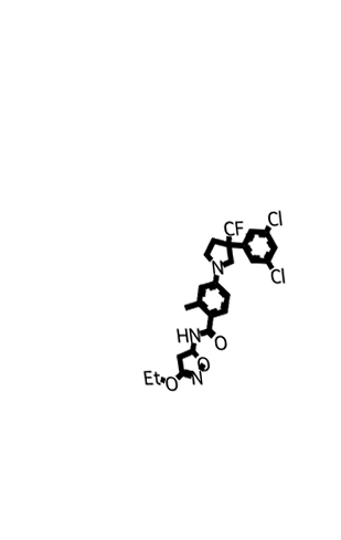 CCOC1=NOC(NC(=O)c2ccc(N3CCC(c4cc(Cl)cc(Cl)c4)(C(F)(F)F)C3)cc2C)C1